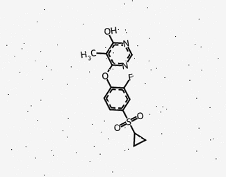 Cc1c(O)ncnc1Oc1ccc(S(=O)(=O)C2CC2)cc1F